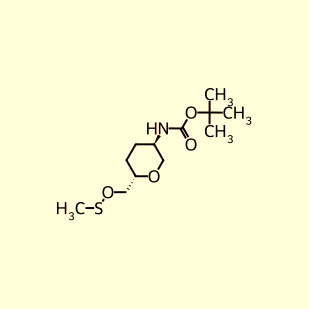 CSOC[C@@H]1CC[C@@H](NC(=O)OC(C)(C)C)CO1